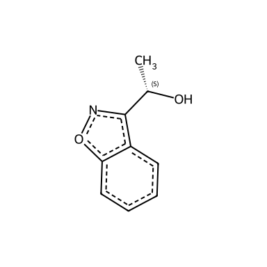 C[C@H](O)c1noc2ccccc12